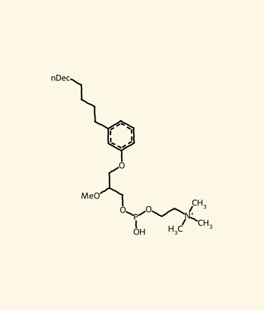 CCCCCCCCCCCCCCc1cccc(OCC(COP(O)OCC[N+](C)(C)C)OC)c1